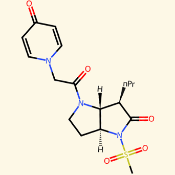 CCC[C@H]1C(=O)N(S(C)(=O)=O)[C@H]2CCN(C(=O)Cn3ccc(=O)cc3)[C@H]12